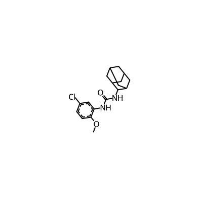 COc1ccc(Cl)cc1NC(=O)NC1C2CC3CC(C2)CC1C3